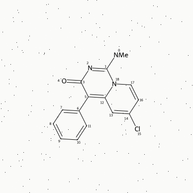 CNc1nc(=O)c(-c2ccccc2)c2cc(Cl)ccn12